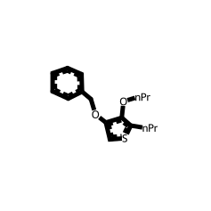 CCCOc1c(OCc2ccccc2)csc1CCC